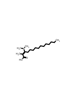 CCCCCCCCCCCCC(=C(C)C(=O)O)N(C)C